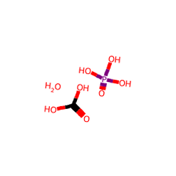 O.O=C(O)O.O=P(O)(O)O